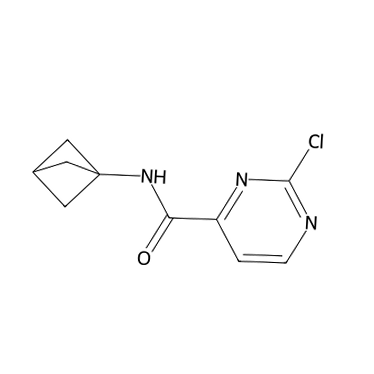 O=C(NC12CC(C1)C2)c1ccnc(Cl)n1